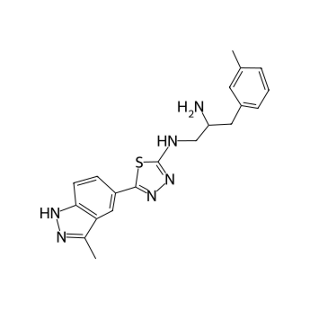 Cc1cccc(CC(N)CNc2nnc(-c3ccc4[nH]nc(C)c4c3)s2)c1